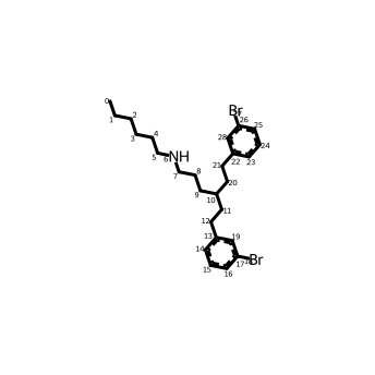 CCCCCCNCCCC(CCc1cccc(Br)c1)CCc1cccc(Br)c1